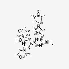 CC1COCCN1c1cc(-c2cnc(N)c(Oc3cnn(C4CCN(C)CC4)c3)n2)cc(C2(O)CCCOC2)n1